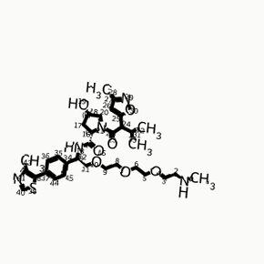 CNCCOCCOCCOC[C@H](NC(=O)[C@@H]1C[C@@H](O)CN1C(=O)C(c1cc(C)no1)C(C)C)c1ccc(-c2scnc2C)cc1